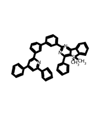 C[Si]1(C)c2ccccc2-c2nc(-c3cccc(-c4cccc(-c5cc(-c6ccccc6)cc(-c6ccccc6)n5)c4)c3)nc(-c3ccccc3)c21